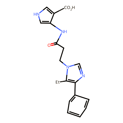 CCc1c(-c2ccccc2)ncn1CCC(=O)Nc1c[nH]cc1C(=O)O